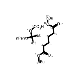 CCCCCC(CC)(CC)OC(=O)O.CCCCOC(=O)CCCCC(=O)OCCCC